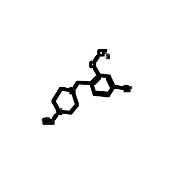 CC(C)(C)N1CCN(Cc2ccc(Br)cc2OC(F)(F)F)CC1